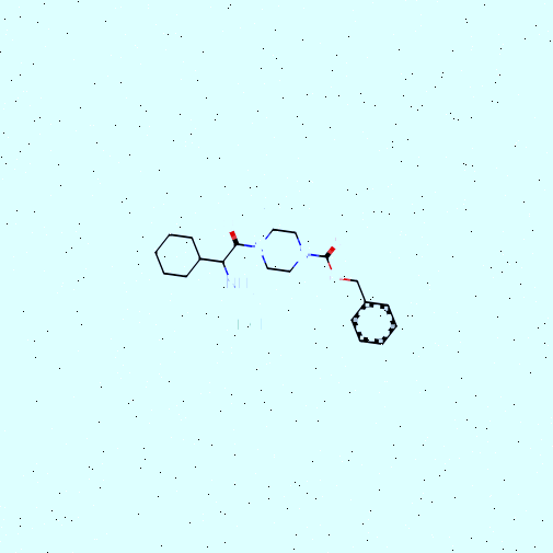 C[C@@H]1CN(C(=O)OCc2ccccc2)CCN1C(=O)C(N)C1CCCCC1.Cl